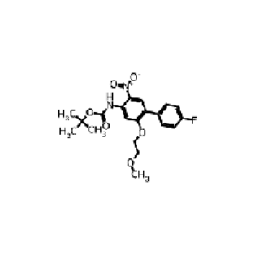 COCCOc1cc(NC(=O)OC(C)(C)C)c([N+](=O)[O-])cc1-c1ccc(F)cc1